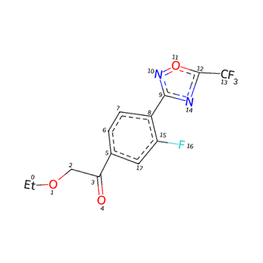 CCOCC(=O)c1ccc(-c2noc(C(F)(F)F)n2)c(F)c1